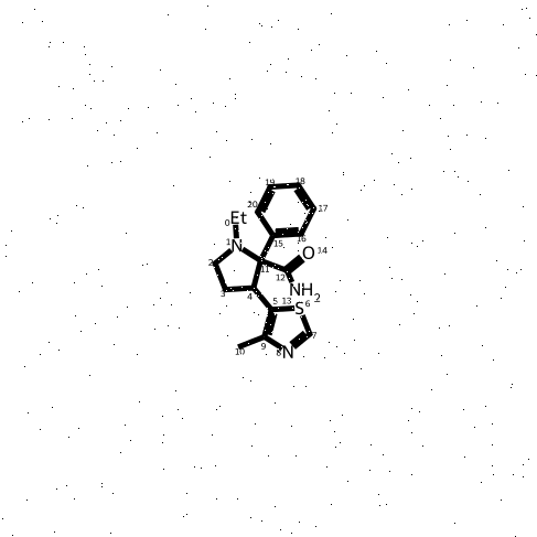 CCN1CCC(c2scnc2C)C1(C(N)=O)c1ccccc1